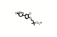 CC(C)(CCOc1ccc(C2=NNC(=O)CC2)cc1Cl)C(=O)O